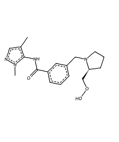 Cc1cnn(C)c1NC(=O)c1cccc(CN2CCC[C@H]2COO)c1